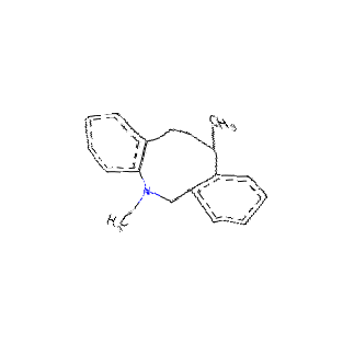 CC1Cc2ccccc2N(C)Cc2ccccc21